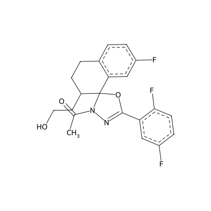 CC(=O)N1N=C(c2cc(F)ccc2F)OC12c1cc(F)ccc1CCC2CCO